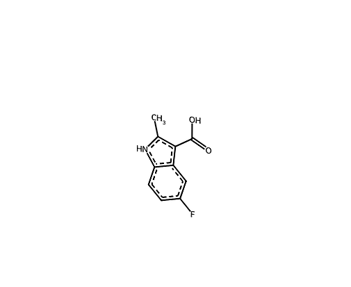 Cc1[nH]c2ccc(F)cc2c1C(=O)O